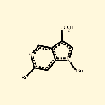 CCC(C)n1cc(C(=O)O)c2cnc(Br)cc21